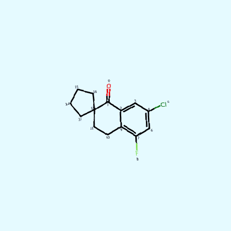 O=C1c2cc(Cl)cc(F)c2CCC12CCCC2